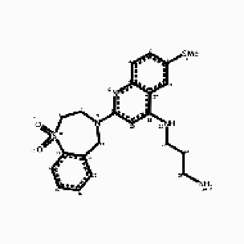 CSc1ccc2nc(N3CCS(=O)(=O)c4ccccc4C3)cc(NCCCN)c2c1